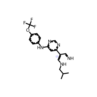 CC(C)CN/C=C(\C=N)c1cc(Nc2ccc(OC(F)(F)F)cc2)ncn1